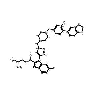 CC(C)COC(=O)c1[nH]c2ccc(F)cc2c1-c1cn(CC2CCN(Cc3ccc(-c4ccc5c(c4)CCO5)c(Cl)c3)CC2)nn1